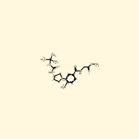 COC(=O)CNC(=O)c1ccc(N)c(N2CC[C@H](NC(=O)OC(C)(C)C)C2)c1